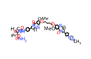 COc1cc2c(cc1OCCCCCOc1cc3c(cc1OC)C(=O)N1C=C(c4ccc(N5CCN(C)CC5)cc4)C[C@H]1C=N3)N=C[C@@H]1CC(c3ccc(NC(=O)[C@H](C)NC(=O)[C@@H](OC(N)=O)C(C)C)cc3)=CN1C2=O